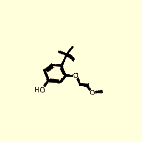 COCCOc1cc(O)ccc1C(C)(C)C